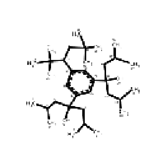 CC(C)CC(O)(CC(C)C)c1cc(C(CC(C)(C)C)C(C)(C)C)cc(C(O)(CC(C)C)CC(C)C)c1